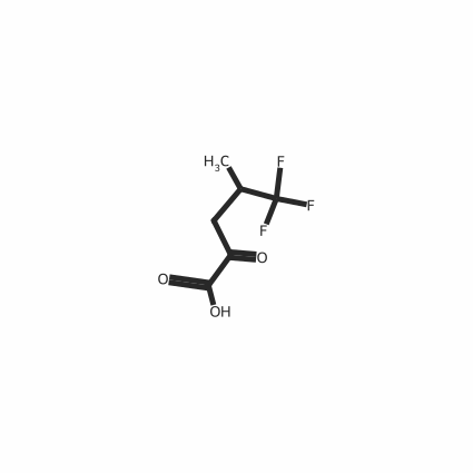 CC(CC(=O)C(=O)O)C(F)(F)F